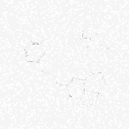 C[n+]1ccc2c[nH]c3c2c1C=C(NCC(O)c1ccccc1)C3=O.O=C([O-])C(F)(F)F